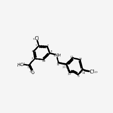 O=C(O)c1cc(Cl)cc(NCc2ccc(Cl)cc2)c1